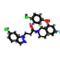 O=C(CCn1ncc2ccc(Cl)cc21)N1CCc2cc(F)ccc2[C@H]1c1cc(Cl)ccc1O